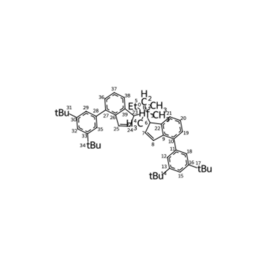 [CH2]=[Hf]([CH3])([CH3])([CH3])([CH2]C)([CH]1C=Cc2c(-c3cc(C(C)(C)C)cc(C(C)(C)C)c3)cccc21)[CH]1C=Cc2c(-c3cc(C(C)(C)C)cc(C(C)(C)C)c3)cccc21